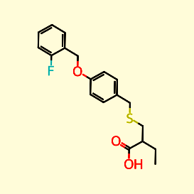 CCC(CSCc1ccc(OCc2ccccc2F)cc1)C(=O)O